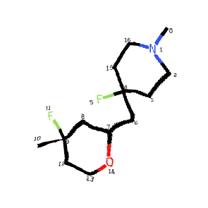 CN1CCC(F)(CC2C[C@@](C)(F)CCO2)CC1